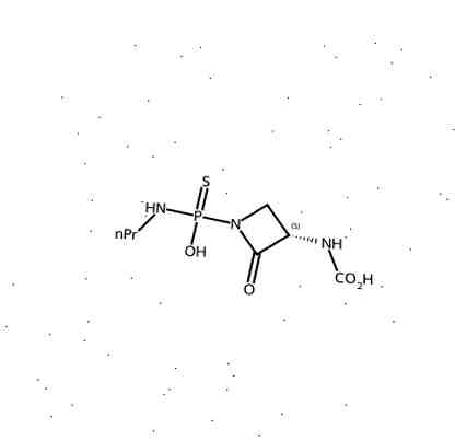 CCCNP(O)(=S)N1C[C@H](NC(=O)O)C1=O